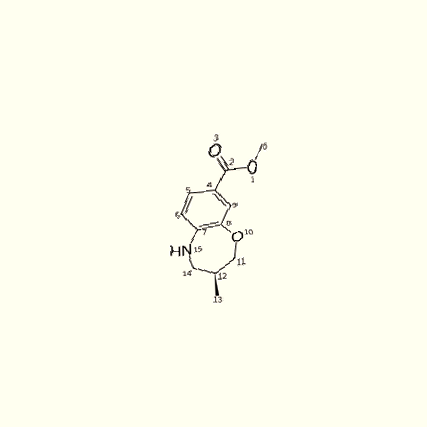 COC(=O)c1ccc2c(c1)OC[C@@H](C)CN2